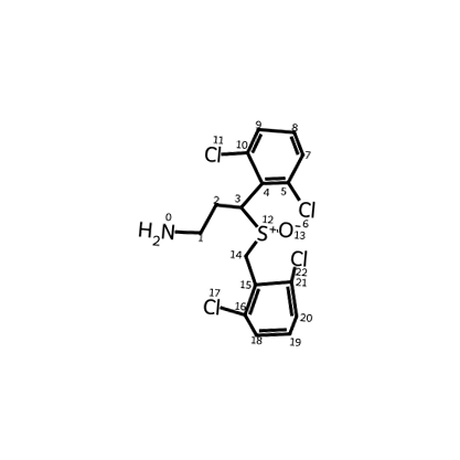 NCCC(c1c(Cl)cccc1Cl)[S+]([O-])Cc1c(Cl)cccc1Cl